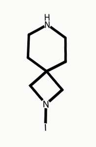 IN1CC2(CCNCC2)C1